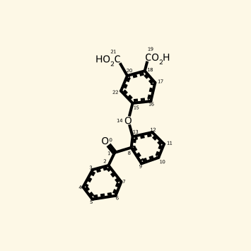 O=C(c1ccccc1)c1ccccc1Oc1ccc(C(=O)O)c(C(=O)O)c1